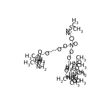 C=C(CCOCCCCCOCCOCCN(CCOCCOCCCCCOCCC(=O)NCC(C)(C)CC(C)(C)CC(N)=O)C(=O)c1ccc(C2=NN=C(SC(C)C)C2)cc1)NCC(C)(C)OC(C)(C)CC(=C)NCC(C)(C)OC(C)(C)NC(=O)CC